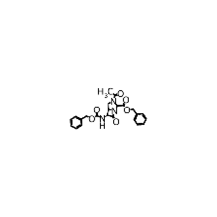 CC(=O)N1CC2[C@H](NC(=O)OCc3ccccc3)C(=O)N2C1C(=O)OCc1ccccc1